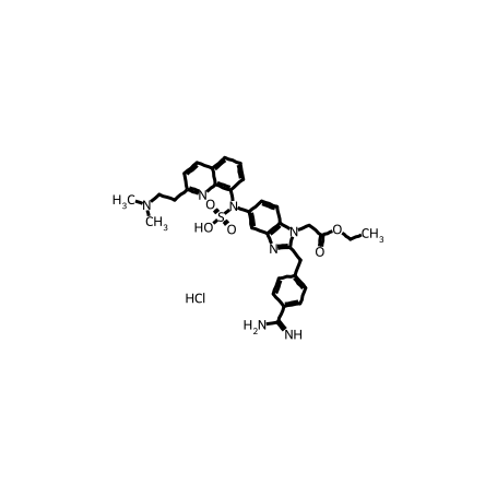 CCOC(=O)Cn1c(Cc2ccc(C(=N)N)cc2)nc2cc(N(c3cccc4ccc(CCN(C)C)nc34)S(=O)(=O)O)ccc21.Cl